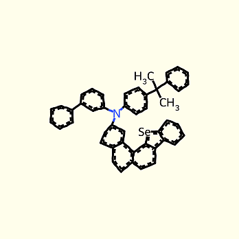 CC(C)(c1ccccc1)c1ccc(N(c2cccc(-c3ccccc3)c2)c2ccc3ccc4ccc5c6ccccc6[se]c5c4c3c2)cc1